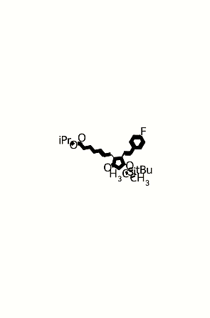 CC(C)OC(=O)CCC/C=C/C[C@H]1C(=O)C[C@@H](O[Si](C)(C)C(C)(C)C)[C@@H]1/C=C/c1ccc(F)cc1